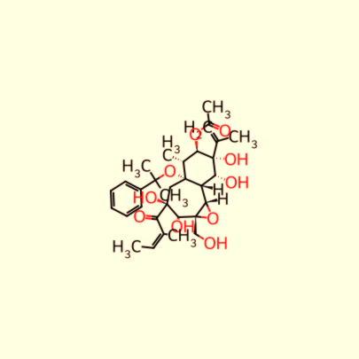 C=C(C)[C@@]1(O)[C@H](O)[C@@H]2[C@@H]3O[C@]3(CO)[C@@H](O)[C@](O)(C(=O)/C(C)=C\C)C[C@@]2(OC(C)(C)c2ccccc2)[C@H](C)[C@H]1OC(C)=O